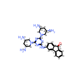 N[C@@H]1C[C@H](N)CN(c2nc(Nc3ccc4c(c3)-c3ccccc3C4=O)nc(N3C[C@H](N)C[C@H](N)C3)n2)C1